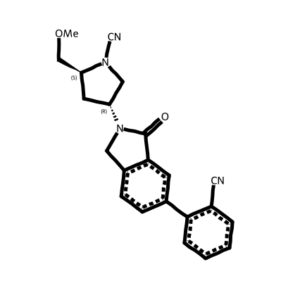 COC[C@@H]1C[C@@H](N2Cc3ccc(-c4ccccc4C#N)cc3C2=O)CN1C#N